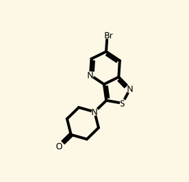 O=C1CCN(c2snc3cc(Br)cnc23)CC1